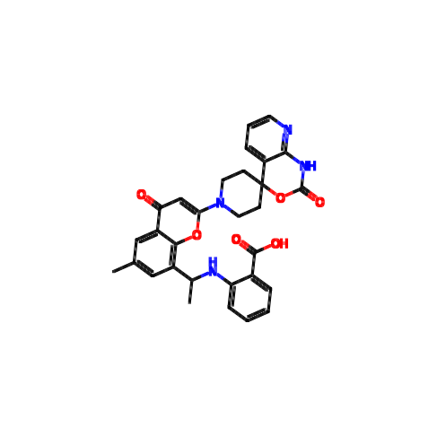 Cc1cc(C(C)Nc2ccccc2C(=O)O)c2oc(N3CCC4(CC3)OC(=O)Nc3ncccc34)cc(=O)c2c1